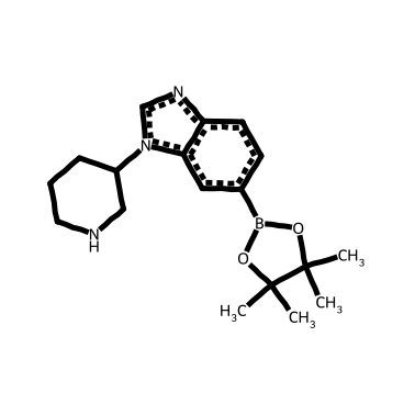 CC1(C)OB(c2ccc3ncn(C4CCCNC4)c3c2)OC1(C)C